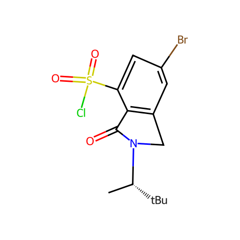 C[C@H](N1Cc2cc(Br)cc(S(=O)(=O)Cl)c2C1=O)C(C)(C)C